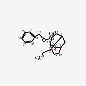 OCC1C2CCC3CC(C2)CC1C[C@@H]3C(O)OCc1ccccc1